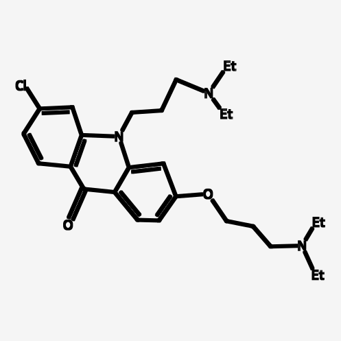 CCN(CC)CCCOc1ccc2c(=O)c3ccc(Cl)cc3n(CCCN(CC)CC)c2c1